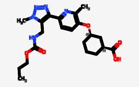 CCCOC(=O)NCc1c(-c2ccc(O[C@H]3CCC[C@H](C(=O)O)C3)c(C)n2)nnn1C